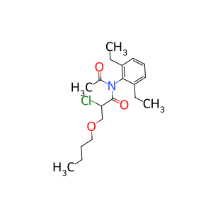 CCCCOCC(Cl)C(=O)N(C(C)=O)c1c(CC)cccc1CC